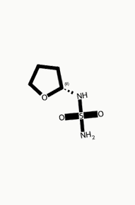 NS(=O)(=O)N[C@H]1CCCO1